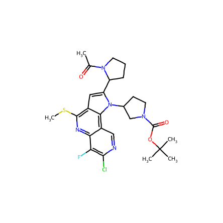 CSc1nc2c(F)c(Cl)ncc2c2c1cc(C1CCCN1C(C)=O)n2C1CCN(C(=O)OC(C)(C)C)C1